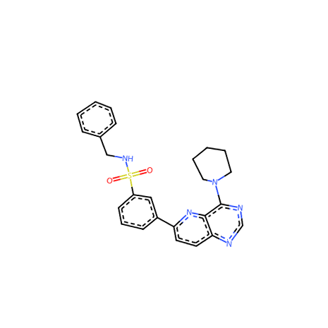 O=S(=O)(NCc1ccccc1)c1cccc(-c2ccc3ncnc(N4CCCCC4)c3n2)c1